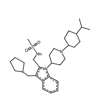 CC(C)C1CCC(N2CCC(n3c(CNS(C)(=O)=O)c(CN4CCCC4)c4ccccc43)CC2)CC1